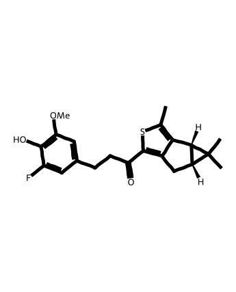 COc1cc(CCC(=O)c2sc(C)c3c2C[C@@H]2[C@H]3C2(C)C)cc(F)c1O